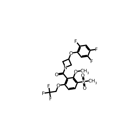 COc1c(S(C)(=O)=O)ccc(OCC(F)(F)F)c1C(=O)N1CC(Oc2cc(F)c(F)cc2F)C1